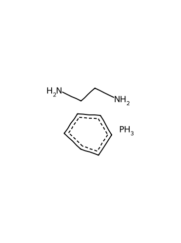 NCCN.P.c1ccccc1